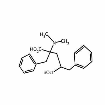 CCCCCCCCC(Cc1ccccc1)CC(Cc1ccccc1)(C(=O)O)N(C)C